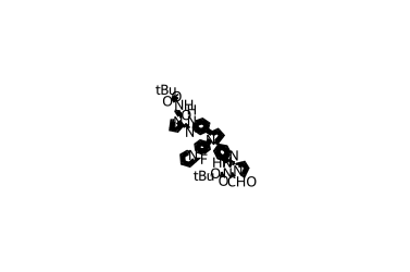 CC(C)(C)OC(=O)NCC(=O)N1CCC[C@H]1c1nc2cc(C3CC[C@@H](c4ccc5[nH]c([C@@H]6CCCN6C(C=O)NC(=O)OC(C)(C)C)nc5c4)N3c3ccc(N4CCCCC4)c(F)c3)ccc2[nH]1